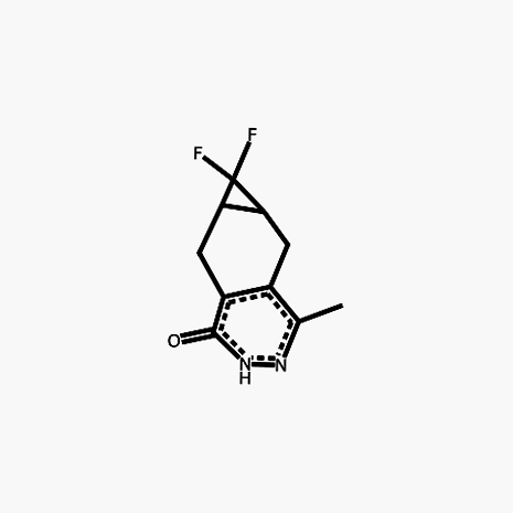 Cc1n[nH]c(=O)c2c1CC1C(C2)C1(F)F